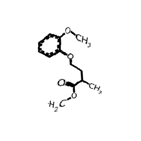 [CH2]OC(=O)C(C)CCOc1ccccc1OC